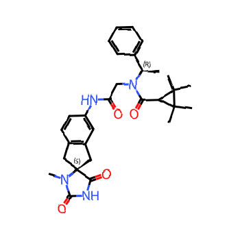 C[C@H](c1ccccc1)N(CC(=O)Nc1ccc2c(c1)C[C@@]1(C2)C(=O)NC(=O)N1C)C(=O)C1C(C)(C)C1(C)C